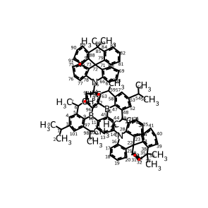 CC(C)c1cc(C(C)C)c(B2c3ccc(N4c5ccccc5C5(c6ccccc64)c4ccccc4C(C)(C)c4ccccc45)cc3B(c3c(C(C)C)cc(C(C)C)cc3C(C)C)c3cc(N4c5ccccc5C5(c6ccccc64)c4ccccc4C(C)(C)c4ccccc45)ccc32)c(C(C)C)c1